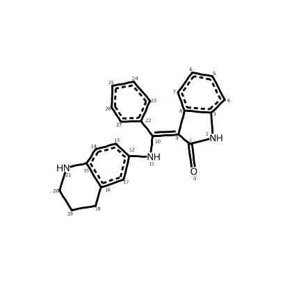 O=C1Nc2ccccc2C1=C(Nc1ccc2c(c1)CCCN2)c1ccccc1